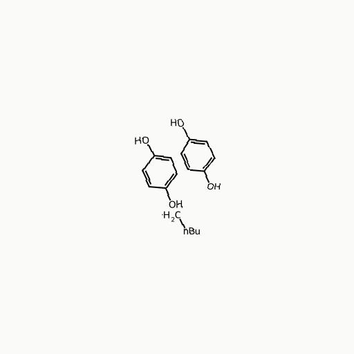 Oc1ccc(O)cc1.Oc1ccc(O)cc1.[CH2]CCCC